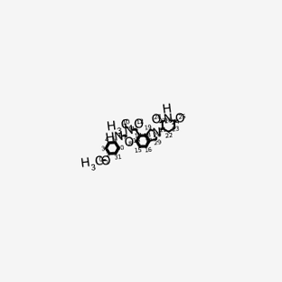 COc1ccc(NC(=O)N(C)C(=O)c2cccc3c2CN(C2CCC(=O)NC2=O)C3)cc1